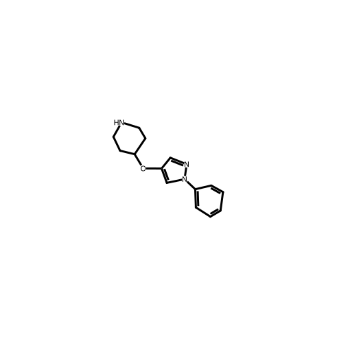 c1ccc(-n2cc(OC3CCNCC3)cn2)cc1